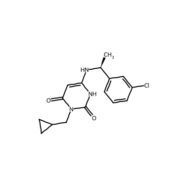 C[C@H](Nc1cc(=O)n(CC2CC2)c(=O)[nH]1)c1cccc(Cl)c1